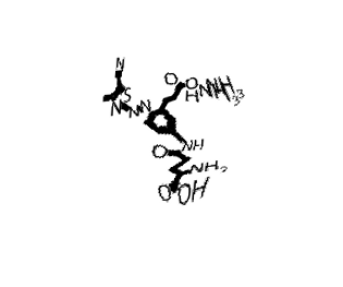 Cc1nc(N=Nc2ccc(NC(=O)CCC(N)C(=O)O)cc2CCC(=O)O)sc1C#N.N.N